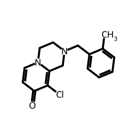 Cc1ccccc1CN1CCn2ccc(=O)c(Cl)c2C1